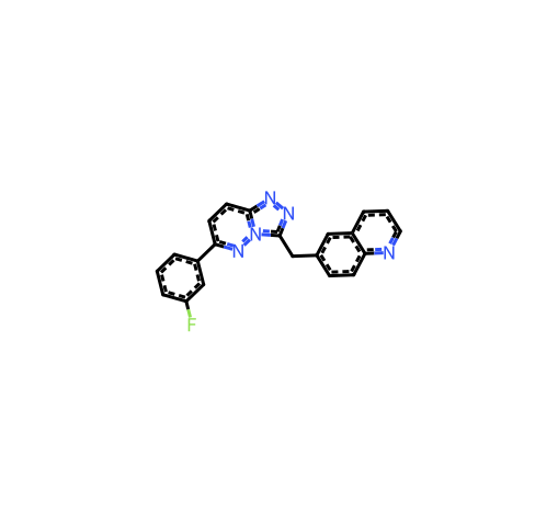 Fc1cccc(-c2ccc3nnc(Cc4ccc5ncccc5c4)n3n2)c1